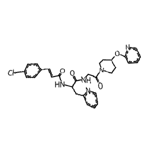 O=C(/C=C/c1ccc(Cl)cc1)NC(Cc1ccccn1)C(=O)NCC(=O)N1CCC(Oc2ccccn2)CC1